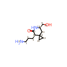 NCCC[C@H]1C(=O)N[C@@H](CO)CC12CC2